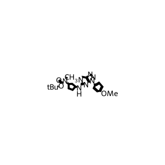 COc1ccc(-n2nnc3cnc(NC4CCC(N(C)C(=O)OC(C)(C)C)C4)nc32)cc1